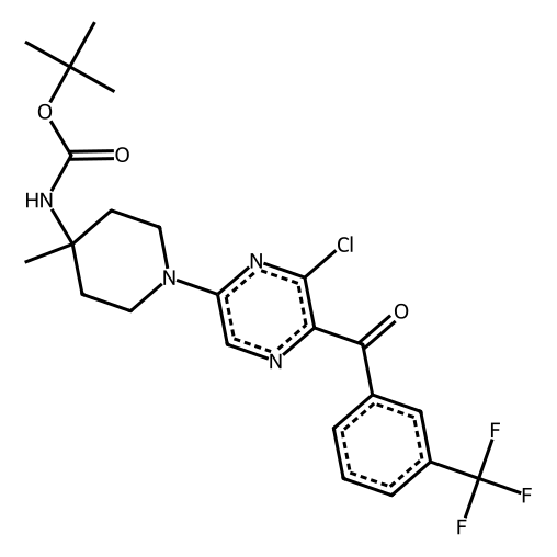 CC1(NC(=O)OC(C)(C)C)CCN(c2cnc(C(=O)c3cccc(C(F)(F)F)c3)c(Cl)n2)CC1